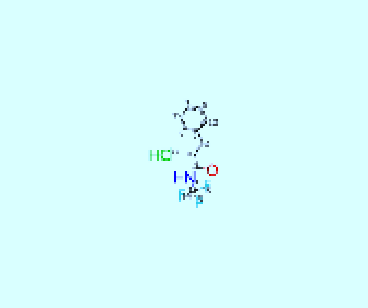 Cl.O=C(CCc1ccccc1)NC(F)(F)F